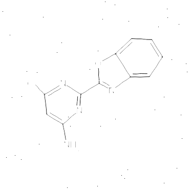 Nc1cc(Cl)nc(-c2nc3ccccc3o2)n1